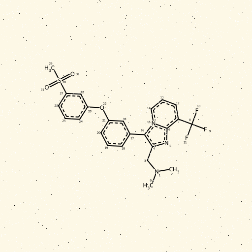 CN(C)Cc1nc2c(C(F)(F)F)cccn2c1-c1cccc(Oc2cccc(S(C)(=O)=O)c2)c1